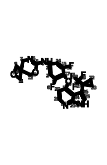 Fc1cc(NC2=NCC3(COC3)CO2)cc(F)c1Oc1ccnc2[nH]cc(C3(C(F)(F)F)CC3)c12